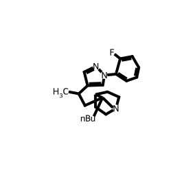 CCCCC1(CC(C)c2cnn(-c3ccccc3F)c2)CN2CCC1CC2